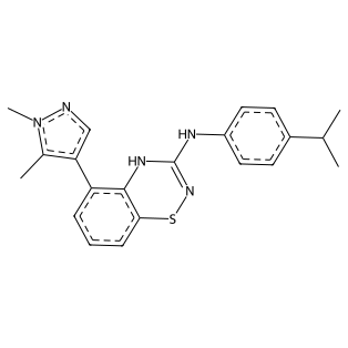 Cc1c(-c2cccc3c2NC(Nc2ccc(C(C)C)cc2)=NS3)cnn1C